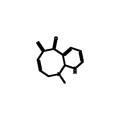 C=C1/C=C\CN(C)C2NC=CC=C2C1=O